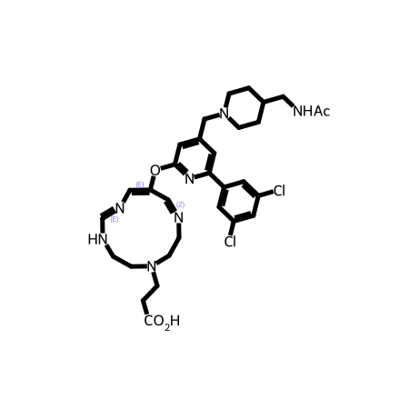 CC(=O)NCC1CCN(Cc2cc(OC3=C/N=C/NCCN(CCC(=O)O)CC/N=C\3)nc(-c3cc(Cl)cc(Cl)c3)c2)CC1